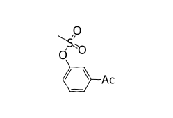 CC(=O)c1cccc(OS(C)(=O)=O)c1